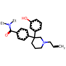 C=CCN1CCCC(c2ccc(C(=O)N(CC)CC)cc2)(c2cccc(O)c2)C1